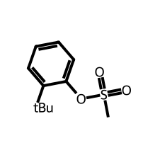 CC(C)(C)c1ccccc1OS(C)(=O)=O